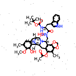 COc1c(C)cc2c(c1O)[C@@H]1C3Cc4c(OC(C)=O)c(C)c5c(c4[C@H](CNC(=O)[C@H](Cc4c[nH]c6ccccc46)NC(=O)OC(C)(C)C)N3[C@@H](O)[C@H](C2)N1C)OCO5